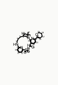 CC1(C)C[C@@H]2CCCNc3cccc(n3)S(=O)(=O)NC(=O)c3ccc(C4=CCCCO4)nc3N1C2